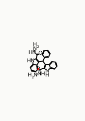 NNC(=O)c1[nH]c2ccccc2c1C(c1ccccc1)c1c(C(=O)NN)[nH]c2ccccc12